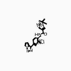 Cc1cc(-c2ncnn3cccc23)ccc1CNC(=O)c1cnn(C(C)(C)C)c1.Cl